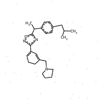 CC(C)Cc1ccc(C(C)c2nc(C3=CCCC(CN4CCCC4)=C3)no2)cc1